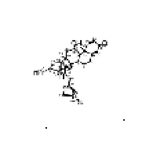 CCC[C@@H]1O[C@@H]2CC3C4CCC5=CC(=O)C=CC5(C)C4[C@@H](O)CC3(C)[C@]2(C(=O)CSc2nc(C(C)(C)C)cs2)O1